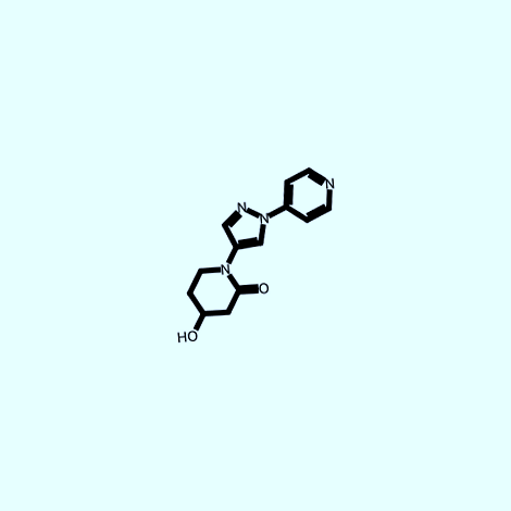 O=C1CC(O)CCN1c1cnn(-c2ccncc2)c1